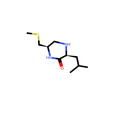 CSC[C@H]1CN[C@@H](CC(C)C)C(=O)N1